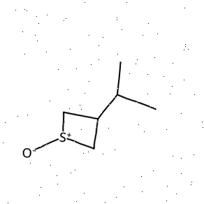 CC(C)C1C[S+]([O-])C1